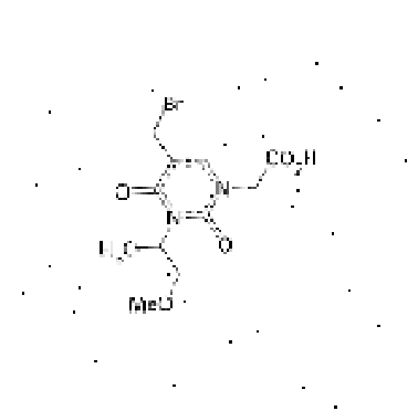 COC[C@@H](C)n1c(=O)c(CBr)cn(CC(=O)O)c1=O